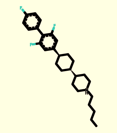 CCCCC[SiH]1CCC([C@H]2CC[C@H](c3cc(F)c(-c4ccc(F)cc4)c(F)c3)CC2)CC1